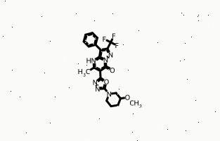 COC1CCCN(c2nnc(-c3c(C)[nH]c4c(-c5ccccc5)c(C(F)(F)F)nn4c3=O)o2)C1